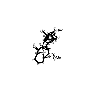 COC[C@H]1CN(Cc2cnn[nH]2)C(=O)C2CCC[C@@H]1N2S(=O)(=O)c1cc(Cl)c(NC(C)=O)c(Cl)c1